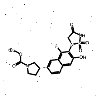 CC(C)(C)OC(=O)N1CC[C@@H](c2ccc3cc(O)c(N4CC(=O)NS4(=O)=O)c(F)c3c2)C1